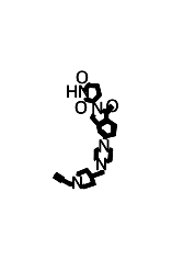 C#CCN1CCC(CN2CCN(c3ccc4c(c3)CN(C3CCC(=O)NC3=O)C4=O)CC2)CC1